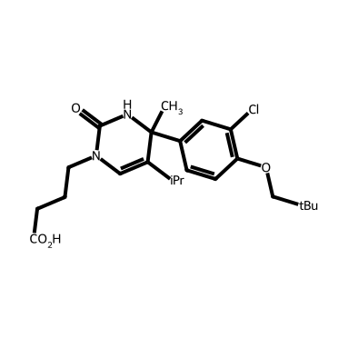 CC(C)C1=CN(CCCC(=O)O)C(=O)NC1(C)c1ccc(OCC(C)(C)C)c(Cl)c1